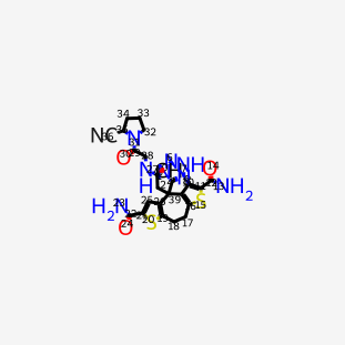 C[C@@H](CC1(c2nn[nH]n2)c2cc(C(N)=O)sc2CCc2sc(C(N)=O)cc21)NCC(=O)N1CCCC1C#N